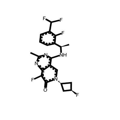 Cc1nc(N[C@H](C)c2cccc(C(F)F)c2F)c2cn([C@H]3C[C@H](F)C3)c(=O)c(F)c2n1